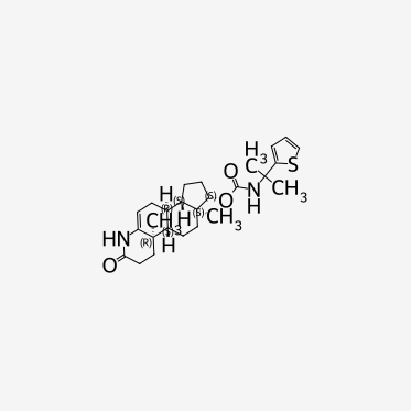 CC(C)(NC(=O)O[C@H]1CC[C@H]2[C@@H]3CC=C4NC(=O)CC[C@]4(C)[C@H]3CC[C@]12C)c1cccs1